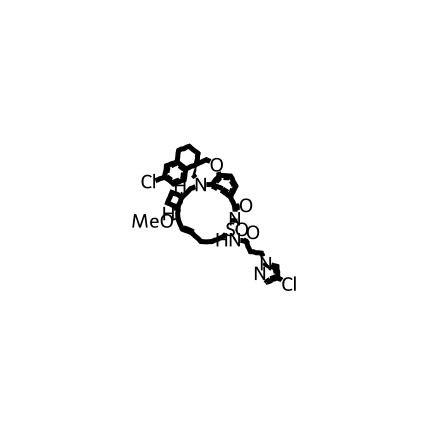 CO[C@H]1/C=C/CCC[S@@](=O)(NC(=O)CCn2cc(Cl)cn2)=NC(=O)c2ccc3c(c2)N(C[C@@H]2CC[C@H]21)C[C@@]1(CCCc2cc(Cl)ccc21)CO3